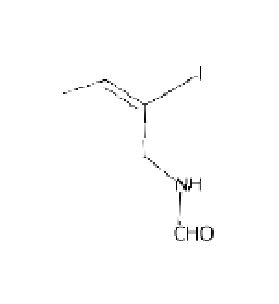 C/C=C(/I)CNC=O